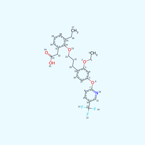 CCOc1cc(Oc2ccc(C(F)(F)F)cn2)ccc1CCCOc1c(CC)cccc1CC(=O)O